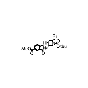 COC(=O)c1ccc2c(c1)C(=O)N(C[C@H]1CN(C(=O)OC(C)(C)C)[C@H](C)CN1)C2